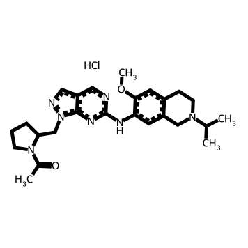 COc1cc2c(cc1Nc1ncc3cnn(CC4CCCN4C(C)=O)c3n1)CN(C(C)C)CC2.Cl